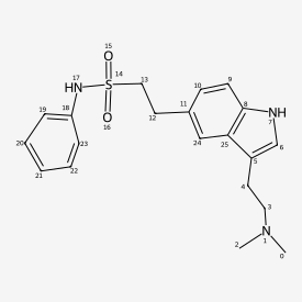 CN(C)CCc1c[nH]c2ccc(CCS(=O)(=O)Nc3ccccc3)cc12